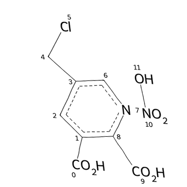 O=C(O)c1cc(CCl)cnc1C(=O)O.O=[N+]([O-])O